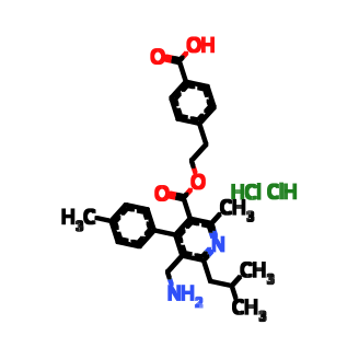 Cc1ccc(-c2c(CN)c(CC(C)C)nc(C)c2C(=O)OCCc2ccc(C(=O)O)cc2)cc1.Cl.Cl